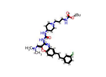 CN(C)/C=C1\Oc2ccc(CCc3cccc(F)c3)cc2N=C1NC(=O)NC1CCN(CCCNC(=O)OC(C)(C)C)CC1